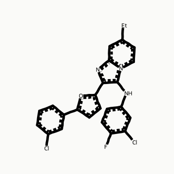 CCc1ccn2c(Nc3ccc(F)c(Cl)c3)c(-c3ccc(-c4cccc(Cl)c4)o3)nc2c1